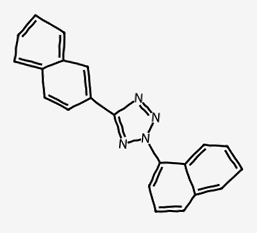 c1ccc2cc(-c3nnn(-c4cccc5ccccc45)n3)ccc2c1